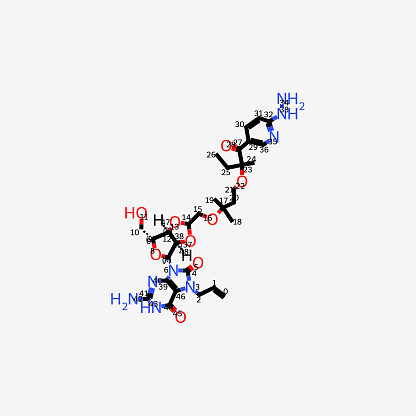 C=CCn1c(=O)n([C@@H]2O[C@H](CO)[C@H]3OC(COC(C)(C)CCOC(C)(CC)C(=O)c4ccc(NN)nc4)O[C@H]32)c2nc(N)[nH]c(=O)c21